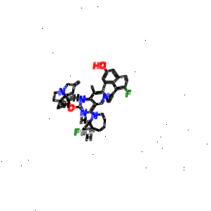 [2H]C([2H])(Oc1nc(N2CCCC[C@H]3[C@H](F)[C@H]32)c2cnc(-c3cc(O)cc4ccc(F)c(C#C)c34)c(C)c2n1)[C@]12CC(=C)CN1CCC21CC1